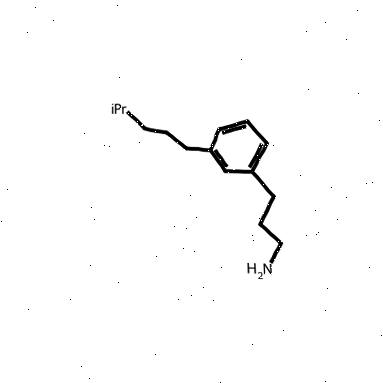 CC(C)CCCc1cccc(CCCN)c1